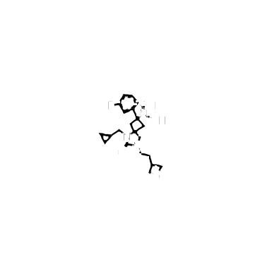 CN(C)C1(c2cccc(F)c2)CC2(CN(CCC3COC3)C(=O)N2CC2CC2)C1